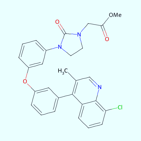 COC(=O)CN1CCN(c2cccc(Oc3cccc(-c4c(C)cnc5c(Cl)cccc45)c3)c2)C1=O